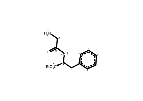 CCOC(=O)[C@H](Cc1ccccc1)NC(=O)CN